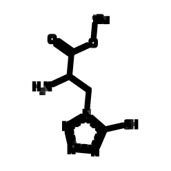 CC(C)(C)OC(=O)C(N)Cn1nnnc1S